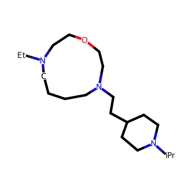 CCN1CCCCN(CCC2CCN(C(C)C)CC2)CCOCC1